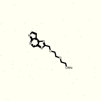 COCCOCCOCC1=Nc2c3c(ncc2=N1)=NC=C3